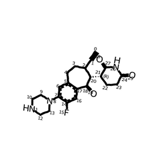 C#CC1CCc2cc(N3CCNCC3)c(F)cc2C(=O)C1[C@H]1CCC(=O)NC1=O